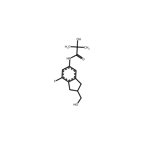 CC(C)(O)C(=O)Nc1cc(F)c2c(c1)CC(CO)C2